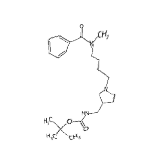 CN(CCCCN1CCC(CNC(=O)OC(C)(C)C)C1)C(=O)c1ccccc1